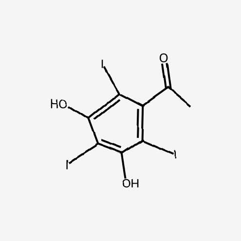 CC(=O)c1c(I)c(O)c(I)c(O)c1I